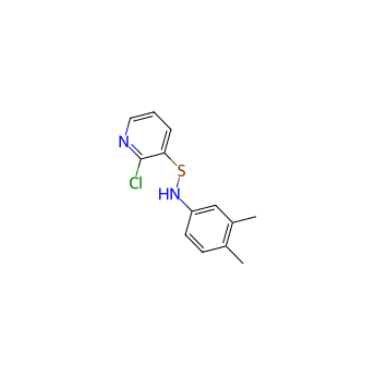 Cc1ccc(NSc2cccnc2Cl)cc1C